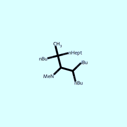 CCCCCCCC(C)(CCCC)C(NC)C(CCCC)C(C)CC